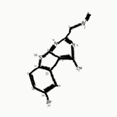 C=NCc1nc(C#N)c2c(n1)sc1ccc(Br)cc12